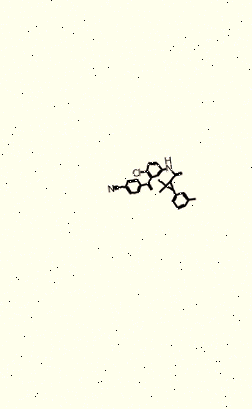 C=C(c1ccc(C#N)cc1)c1cc(NC(=C)C2C(c3cccc(C)c3)C2(C)C)ccc1Cl